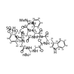 CCCC[C@@H](NCC(=O)C(=O)N[C@@H](Cc1c[nH]c2ccccc12)C(=O)NC(=O)[C@H](Cc1ccccc1)NC(=O)[C@H](CC(=O)O)NC(=O)[C@H](CCCC)NC)NC(=O)[C@H](Cc1ccc(OS(=O)(=O)O)cc1)NC(=O)CC